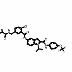 CC(C)C(=O)NCc1ccc(Cl)c(C(=O)Nc2ccc3c(c2)cc(C(=O)Nc2ccc(OC(F)(F)F)cc2)n3C(C)C)c1